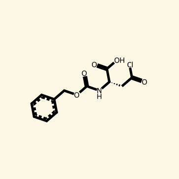 O=C(Cl)C[C@H](NC(=O)OCc1ccccc1)C(=O)O